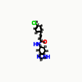 O=C(C=Cc1ccc(Cl)cc1)NC1CCc2[nH]cnc2C1